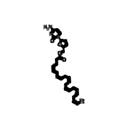 CC/C=C\C/C=C\C/C=C\C/C=C\C/C=C\C/C=C\CCC(=O)OC[C@@H]1CC[C@@H](n2ccc(N)nc2=O)O1